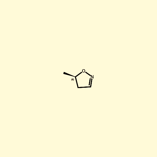 C[C@@H]1CC=NO1